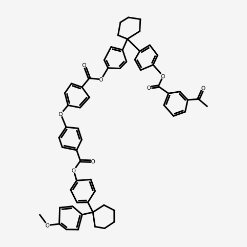 COc1ccc(C2(c3ccc(OC(=O)c4ccc(Oc5ccc(C(=O)Oc6ccc(C7(c8ccc(OC(=O)c9cccc(C(C)=O)c9)cc8)CCCCC7)cc6)cc5)cc4)cc3)CCCCC2)cc1